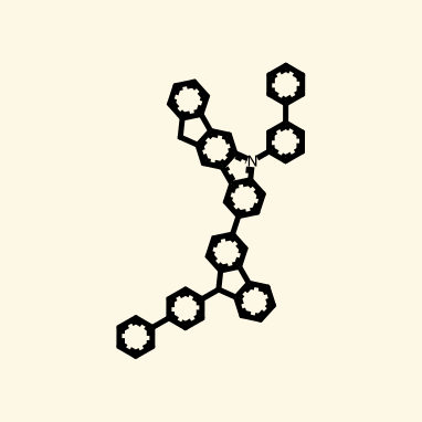 c1ccc(-c2ccc(C3c4ccccc4-c4cc(-c5ccc6c(c5)c5cc7c(cc5n6-c5cccc(-c6ccccc6)c5)-c5ccccc5C7)ccc43)cc2)cc1